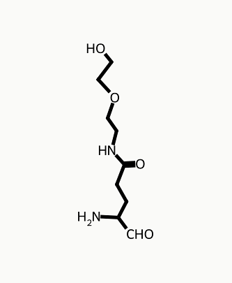 NC(C=O)CCC(=O)NCCOCCO